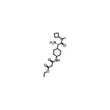 CCOC(=O)CC(=O)NC1CCC([C@H](N)C(=O)N(C)C2CCC2)CC1